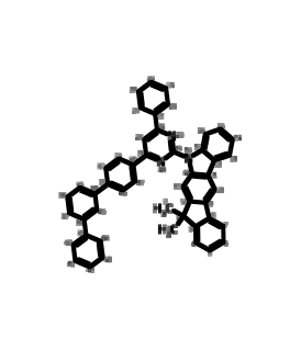 CC1(C)c2ccccc2-c2cc3c4ccccc4n(-c4nc(-c5ccccc5)cc(-c5ccc(-c6cccc(-c7ccccc7)c6)cc5)n4)c3cc21